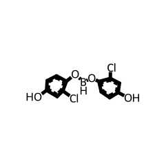 Oc1ccc(OBOc2ccc(O)cc2Cl)c(Cl)c1